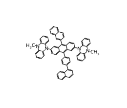 CN1c2ccccc2N(c2ccc3c(-c4ccc5ccccc5c4)c4cc(N5c6ccccc6N(C)c6ccccc65)ccc4c(-c4ccc(-c5cccc6ccccc56)cc4)c3c2)c2ccccc21